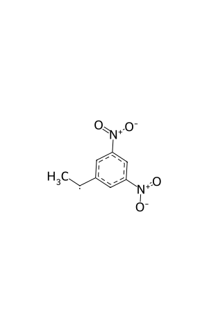 C[CH]c1cc([N+](=O)[O-])cc([N+](=O)[O-])c1